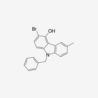 Cc1ccc2c(c1)c1c(O)c(Br)ccc1n2Cc1ccccc1